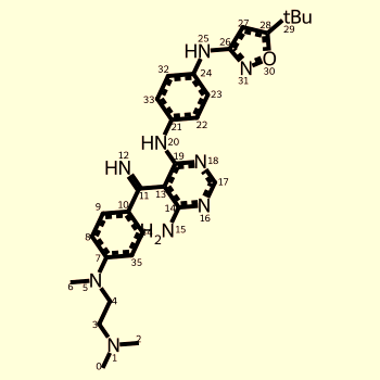 CN(C)CCN(C)c1ccc(C(=N)c2c(N)ncnc2Nc2ccc(Nc3cc(C(C)(C)C)on3)cc2)cc1